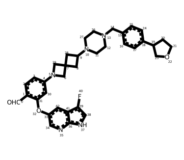 O=Cc1ccc(N2CC3(CC(N4CCN(Cc5ccc(C6CCOC6)cc5)CC4)C3)C2)cc1Oc1cnc2[nH]cc(F)c2c1